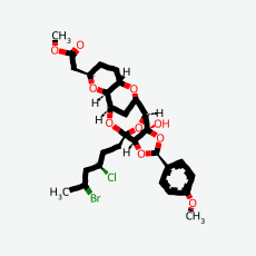 COC(=O)C[C@H]1CC[C@@H]2OC3C[C@@H](O[C@]4(CC[C@@H](Cl)CC(C)Br)O[C@@H]3[C@@]3(O)O[C@@H](c5ccc(OC)cc5)O[C@@H]43)[C@H]2O1